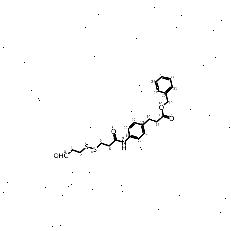 O=CCCSSCCC(=O)Nc1ccc(CCC(=O)OCc2ccccc2)cc1